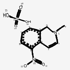 CN1C=Cc2c(cccc2[N+](=O)[O-])C1.O=S(=O)(O)O